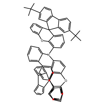 CC(C)(C)c1ccc2c(c1)C1(c3ccccc3Oc3c(N(c4ccc5c(c4)C4(c6ccccc6O5)c5ccccc5-c5ccccc54)c4ccccc4-c4ccc(-c5ccccc5)cc4)cccc31)c1cc(C(C)(C)C)ccc1-2